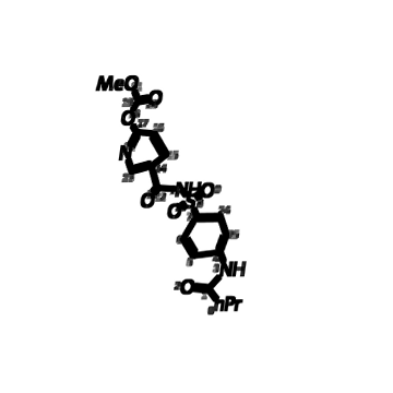 CCCC(=O)Nc1ccc(S(=O)(=O)NC(=O)c2ccc(OC(=O)OC)nc2)cc1